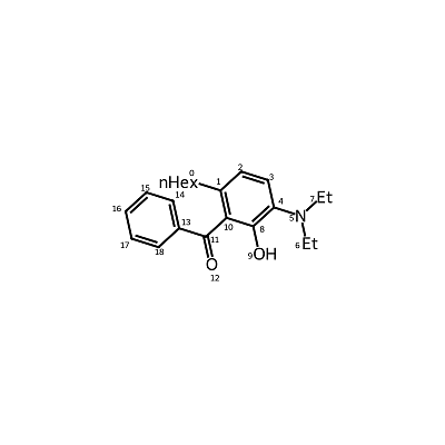 CCCCCCc1ccc(N(CC)CC)c(O)c1C(=O)c1ccccc1